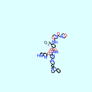 CC(C)c1ccccc1C1CCCN1C1CC2(CCN(c3cnc(C(=O)NS(=O)(=O)c4ccc(NCC5CN(C(=O)CN6CCOCC6)CCO5)c([N+](=O)[O-])c4)c(Oc4cnc5[nH]ccc5c4)c3)CC2)C1